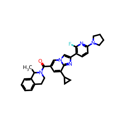 CC1c2ccccc2CCN1C(=O)c1cc(C2CC2)c2nc(-c3ccc(N4CCCC4)nc3F)cn2c1